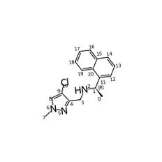 C[C@@H](NCc1nn(C)cc1Cl)c1cccc2ccccc12